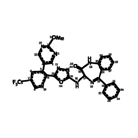 COc1ncc(-c2cc(C(F)(F)F)cnc2-c2nnc(NC3N=C(c4ccccc4)c4ccccc4NC3=O)o2)cn1